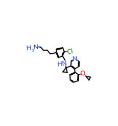 NCCCCc1ccc(Cl)c(CNC2(c3cnccc3-c3ccccc3OC3CC3)CC2)c1